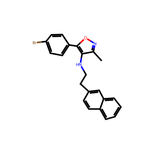 Cc1noc(-c2ccc(Br)cc2)c1NCCc1ccc2ccccc2c1